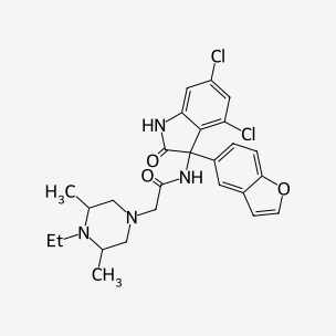 CCN1C(C)CN(CC(=O)NC2(c3ccc4occc4c3)C(=O)Nc3cc(Cl)cc(Cl)c32)CC1C